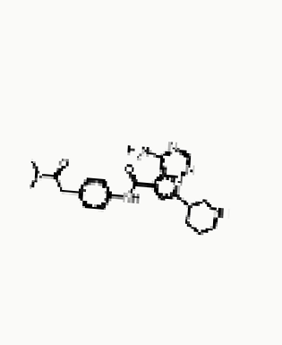 CN(C)C(=O)Cc1ccc(NC(=O)c2cc(C3CCCNC3)n3ncnc(N)c23)cc1